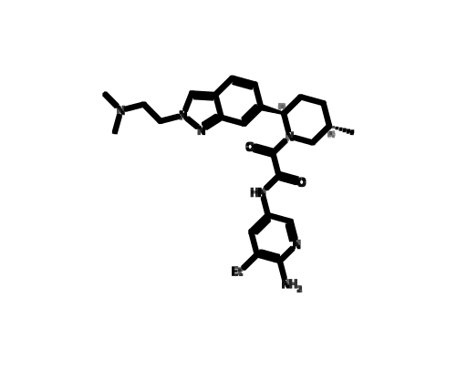 CCc1cc(NC(=O)C(=O)N2C[C@@H](C)CC[C@@H]2c2ccc3cn(CCN(C)C)nc3c2)cnc1N